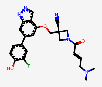 CN(C)C/C=C/C(=O)N1CC(C#N)(COc2cc(-c3ccc(O)c(F)c3)cc3[nH]ncc23)C1